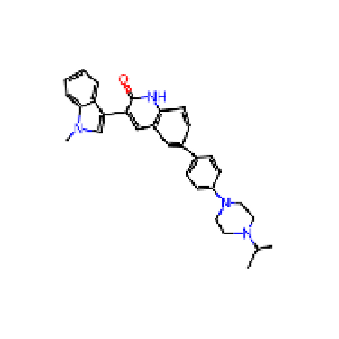 CC(C)N1CCN(c2ccc(-c3ccc4[nH]c(=O)c(-c5cn(C)c6ccccc56)cc4c3)cc2)CC1